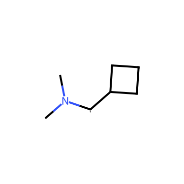 CN(C)[CH]C1CCC1